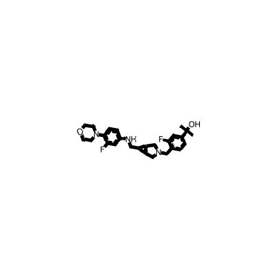 CC(C)(O)c1ccc(CN2CC3C(CNc4ccc(N5CCOCC5)c(F)c4)C3C2)c(F)c1